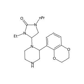 CCCN1CC(N2CCNCC2c2cccc3c2OCCO3)N(CC)C1=O